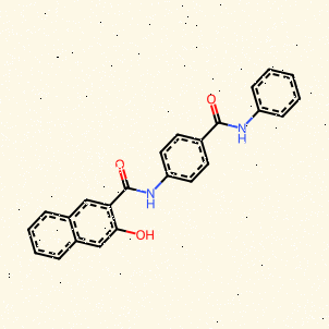 O=C(Nc1ccccc1)c1ccc(NC(=O)c2cc3ccccc3cc2O)cc1